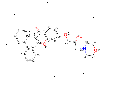 O=c1c(-c2ccccc2)c(-c2ccccc2)oc2cc(OCC(O)CN3CCOCC3)ccc12